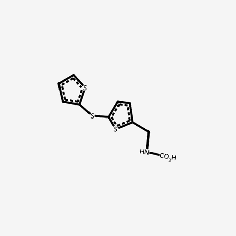 O=C(O)NCc1ccc(Sc2cccs2)s1